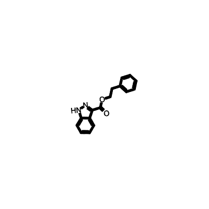 O=C(OCCc1ccccc1)c1n[nH]c2ccccc12